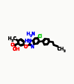 CCCCc1ccc(-c2cc3nc(Oc4ccc(C)c(C(=O)O)c4)[nH]c3cc2Cl)cc1.N